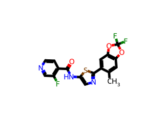 Cc1cc2c(cc1-c1ncc(NC(=O)c3ccncc3F)s1)OC(F)(F)O2